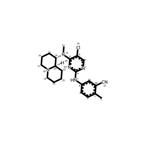 Cc1ccc(Nc2ncc(Cl)c(N(C)[C@H]3CCCN4CCCC[C@H]34)n2)cc1C#N